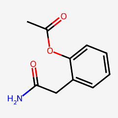 CC(=O)Oc1ccccc1CC(N)=O